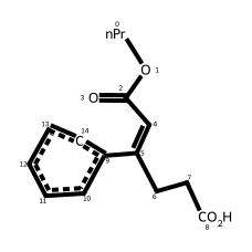 CCCOC(=O)/C=C(/CCC(=O)O)c1ccccc1